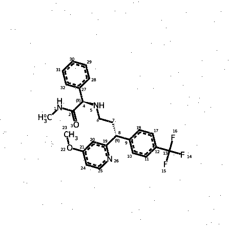 CNC(=O)[C@H](NCC[C@H](c1ccc(C(F)(F)F)cc1)c1cc(OC)ccn1)c1ccccc1